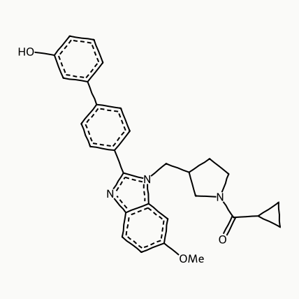 COc1ccc2nc(-c3ccc(-c4cccc(O)c4)cc3)n(CC3CCN(C(=O)C4CC4)C3)c2c1